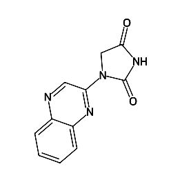 O=C1CN(c2cnc3ccccc3n2)C(=O)N1